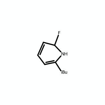 CCC(C)C1=CC=CC(F)N1